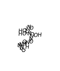 CNN(C)Cc1cc2ccccc2n1CCC(=O)NCC(=O)N(CCO)CC(=O)N(CCO)CCC(=O)N(C)C(C)C(=O)O